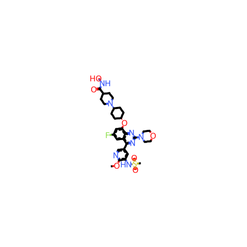 COc1ncc(-c2nc(N3CCOCC3)nc3c(O[C@H]4CC[C@H](N5CCC(C(=O)NO)CC5)CC4)cc(F)cc23)cc1NS(C)(=O)=O